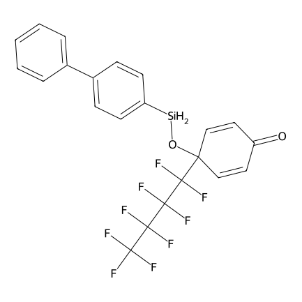 O=C1C=CC(O[SiH2]c2ccc(-c3ccccc3)cc2)(C(F)(F)C(F)(F)C(F)(F)C(F)(F)F)C=C1